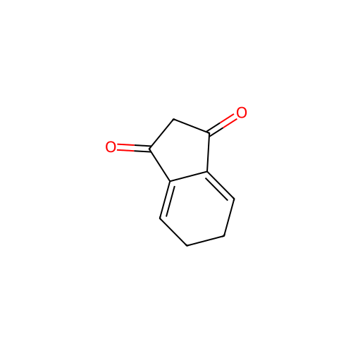 O=C1CC(=O)C2=CCCC=C12